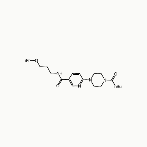 CCCCC(=O)N1CCN(c2ccc(C(=O)NCCCOC(C)C)cn2)CC1